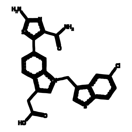 NC(=O)c1nc(N)sc1-c1ccc2c(CC(=O)O)cn(Cc3csc4ccc(Cl)cc34)c2c1